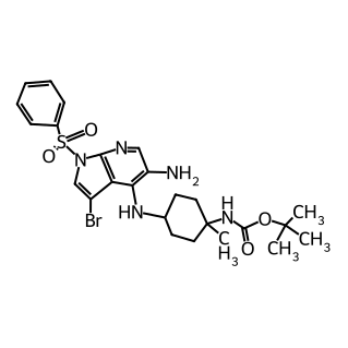 CC1(NC(=O)OC(C)(C)C)CCC(Nc2c(N)cnc3c2c(Br)cn3S(=O)(=O)c2ccccc2)CC1